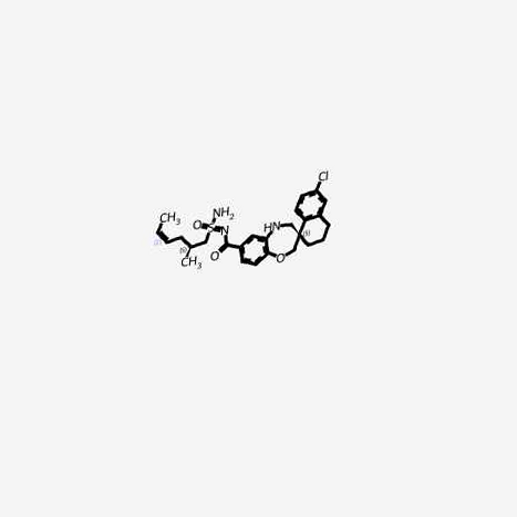 C/C=C\C[C@H](C)CS(N)(=O)=NC(=O)c1ccc2c(c1)NC[C@@]1(CCCc3cc(Cl)ccc31)CO2